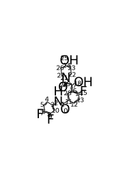 O=C(Nc1ccc(F)c(F)c1)c1ccc(F)c(C(O)C(=O)N2CCC(O)CC2)c1